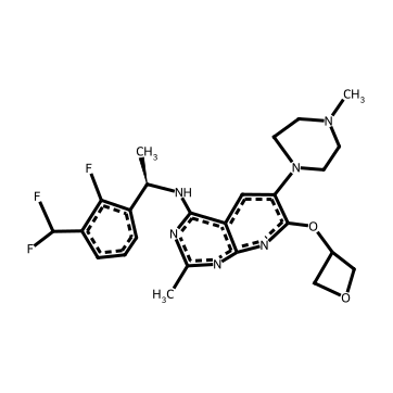 Cc1nc(N[C@H](C)c2cccc(C(F)F)c2F)c2cc(N3CCN(C)CC3)c(OC3COC3)nc2n1